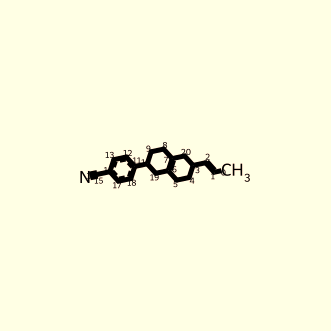 C/C=C/C1CCC2=C(CCC(c3ccc(C#N)cc3)C2)C1